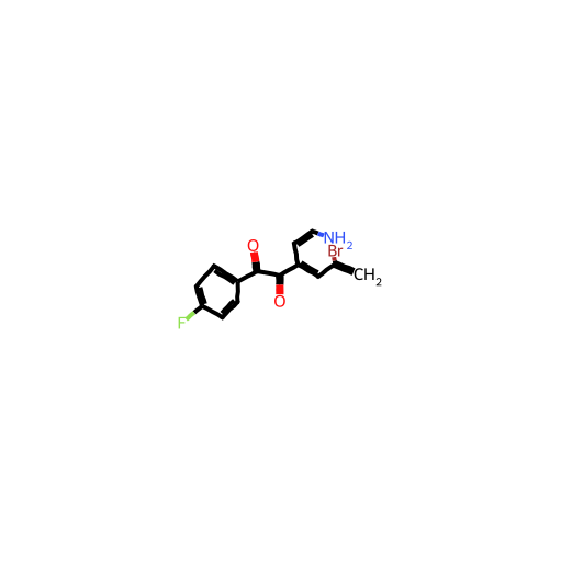 C=C(Br)/C=C(\C=C/N)C(=O)C(=O)c1ccc(F)cc1